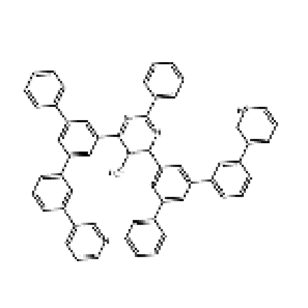 CN1C(c2cc(-c3ccccc3)cc(-c3cccc(-c4cccnc4)c3)c2)=NC(c2ccccc2)=NC1c1cc(-c2ccccc2)cc(-c2cccc(C3=CC=CNC3)c2)c1